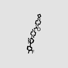 Cc1ccc(-c2ccc(N3CCN(CC(=O)N4CCN(C5CCC5)CC4)CC3)nn2)cc1F